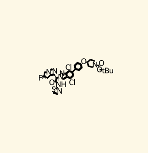 CC(C)(C)OC(=O)N1CCC(Oc2ccc(-c3cc(Cl)c4cn([C@@H](C(=O)Nc5nccs5)c5ncn6c5C[C@@H](F)C6)nc4c3Cl)cc2)CC1